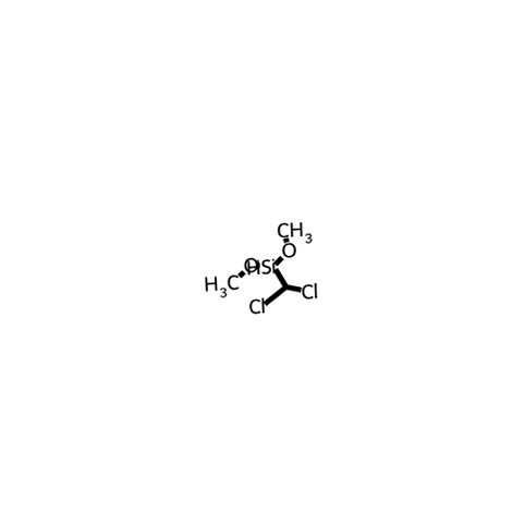 CO[SiH](OC)C(Cl)Cl